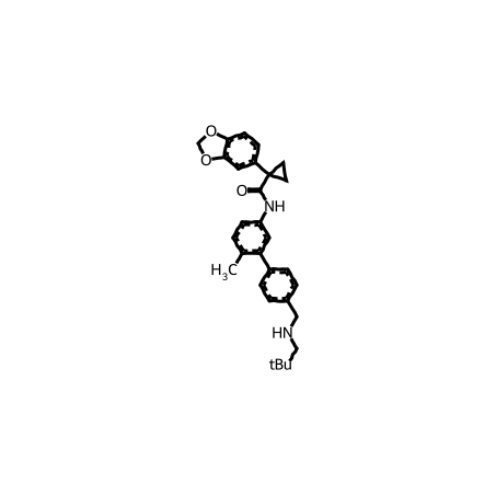 Cc1ccc(NC(=O)C2(c3ccc4c(c3)OCO4)CC2)cc1-c1ccc(CNCC(C)(C)C)cc1